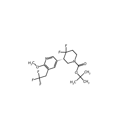 COc1ncc([C@H]2CN(C(=O)OC(C)(C)C)CCC2(F)F)cc1CC(F)(F)F